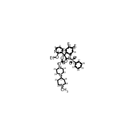 CCOc1ncccc1C1(OC(=O)ON2CCN(C3CCN(C)CC3)CC2)C(=O)N(S(=O)(=O)c2ccccc2)c2cc(F)c(F)cc21